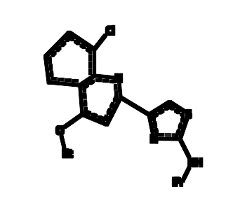 CCOc1cc(-c2csc(NC(C)C)n2)nc2c(Cl)cccc12